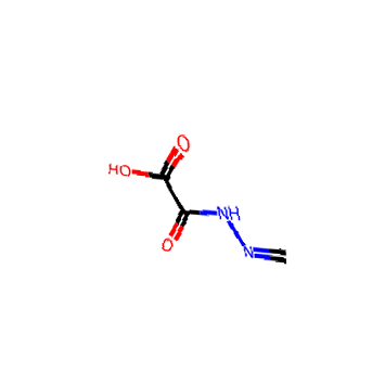 C=NNC(=O)C(=O)O